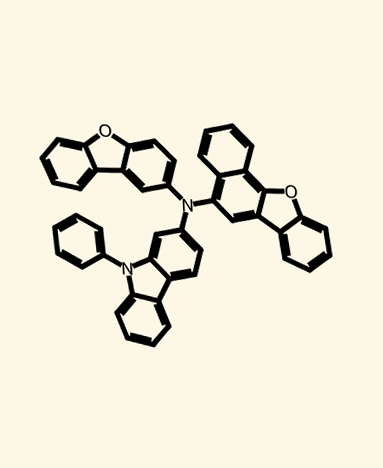 c1ccc(-n2c3ccccc3c3ccc(N(c4ccc5oc6ccccc6c5c4)c4cc5c6ccccc6oc5c5ccccc45)cc32)cc1